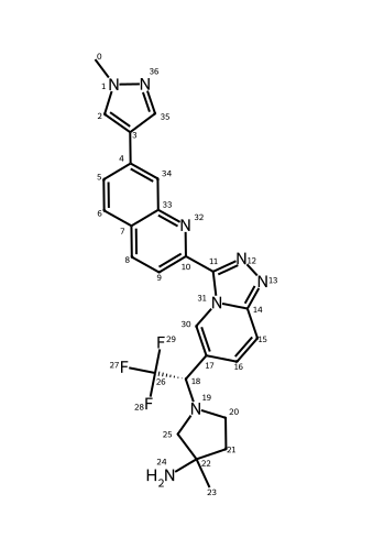 Cn1cc(-c2ccc3ccc(-c4nnc5ccc([C@H](N6CCC(C)(N)C6)C(F)(F)F)cn45)nc3c2)cn1